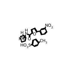 Cc1ccc(S(=O)(=O)O)cc1.O=C(N[C@H]1CN2CCC1CC2)c1ccc(-c2cccc([N+](=O)[O-])c2)o1